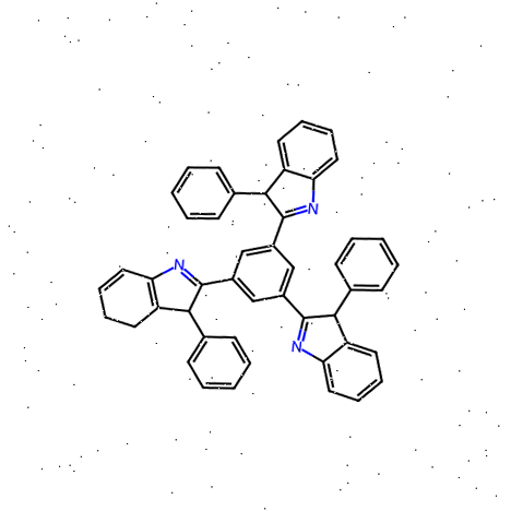 C1=CC2=C(CC1)C(c1ccccc1)C(c1cc(C3=Nc4ccccc4C3c3ccccc3)cc(C3=Nc4ccccc4C3c3ccccc3)c1)=N2